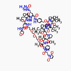 CC[C@H](C)[C@@H]([C@@H](CC(=O)N1CCC[C@H]1C(OC)[C@@H](C)C(=O)N[C@H](C)Cc1ccccc1)OC)N(C)C(=O)[C@@H](NC(=O)[C@H](C(C)C)N(C)C(=O)OCc1ccc(NC(=O)[C@H](CCCNC(N)=O)NC(=O)[C@@H](NC(=O)[C@H](CC(=O)N[C@H]2CCOC2)NC(=O)CCOCCOCCOCCOCCNC(=O)CCN2C(=O)C=CC2=O)C(C)C)cc1)C(C)C